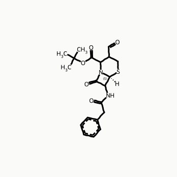 CC(C)(C)OC(=O)C1C(C=O)CS[C@H]2C(NC(=O)Cc3ccccc3)C(=O)N12